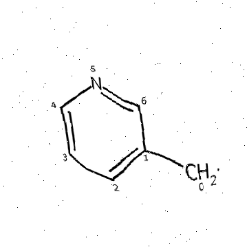 [CH2]c1cccnc1